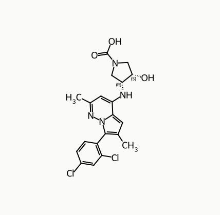 Cc1cc(N[C@@H]2CN(C(=O)O)C[C@@H]2O)c2cc(C)c(-c3ccc(Cl)cc3Cl)n2n1